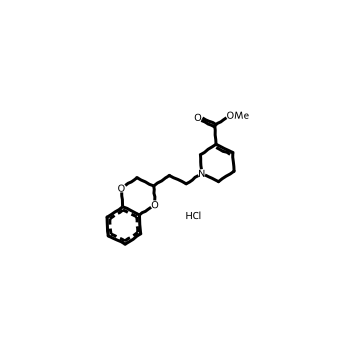 COC(=O)C1=CCCN(CCC2COc3ccccc3O2)C1.Cl